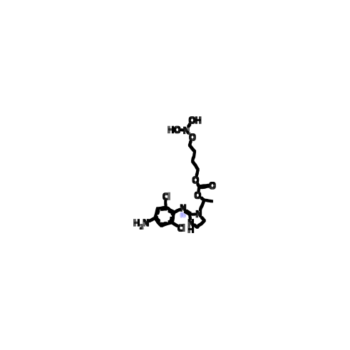 CC(OC(=O)OCCCCON(O)O)N1CCN/C1=N\c1c(Cl)cc(N)cc1Cl